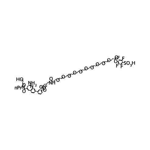 CCCN(OCCO)C(=O)C1=Cc2ccc(-c3cccc(S(=O)(=O)N4CC(CNC(=O)CCOCCOCCOCCOCCOCCOCCOCCOCCOCCOCCC(=O)Oc5c(F)c(F)c(S(=O)(=O)O)c(F)c5F)C4)c3)cc2N=C(N)C1